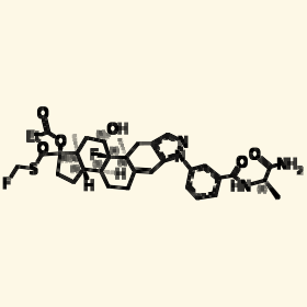 CCC(=O)O[C@]1(C(=O)SCF)CC[C@H]2[C@@H]3CCC4=Cc5c(cnn5-c5cccc(C(=O)N[C@H](C)C(N)=O)c5)C[C@]4(C)[C@@]3(F)[C@@H](O)C[C@@]21C